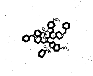 O=C(C(CC1CCN(Cc2ccccc2)CC1)c1cc2cc([N+](=O)[O-])ccc2n1S(=O)(=O)c1ccccc1)C(CC1CCN(Cc2ccccc2)CC1)c1cc2cc([N+](=O)[O-])ccc2n1S(=O)(=O)c1ccccc1